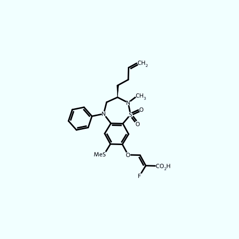 C=CCC[C@@H]1CN(c2ccccc2)c2cc(SC)c(O/C=C(\F)C(=O)O)cc2S(=O)(=O)N1C